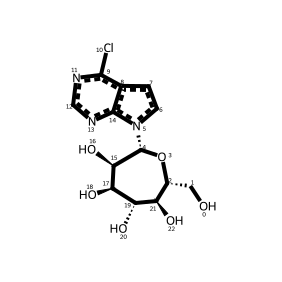 OC[C@H]1O[C@@H](n2ccc3c(Cl)ncnc32)[C@H](O)[C@H](O)[C@@H](O)[C@@H]1O